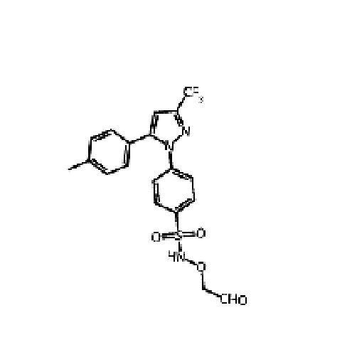 Cc1ccc(-c2cc(C(F)(F)F)nn2-c2ccc(S(=O)(=O)NOCC=O)cc2)cc1